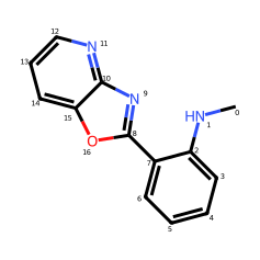 CNc1ccccc1-c1nc2ncccc2o1